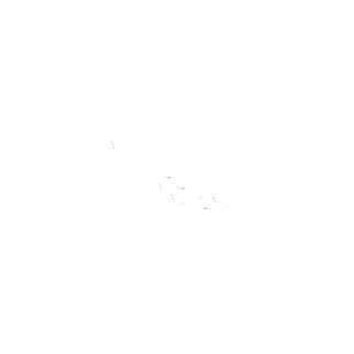 C=CC(=O)OCCCOc1ccc2cc(-c3ccc(N)cc3)ccc2c1